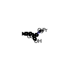 CC(C)OC(=O)/C=C/c1cccc(N(CC2CCN(c3ccc(N(C)C)cc3)C(=O)C2)C(=O)C2CCC(O)CC2)c1